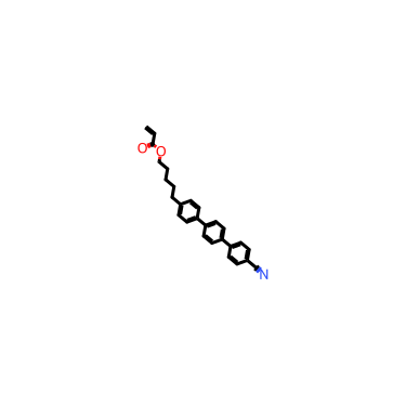 C=CC(=O)OCCCCCc1ccc(-c2ccc(-c3ccc(C#N)cc3)cc2)cc1